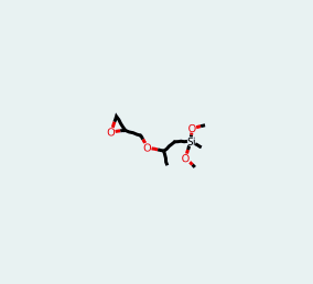 CO[Si](C)(CC(C)OCC1CO1)OC